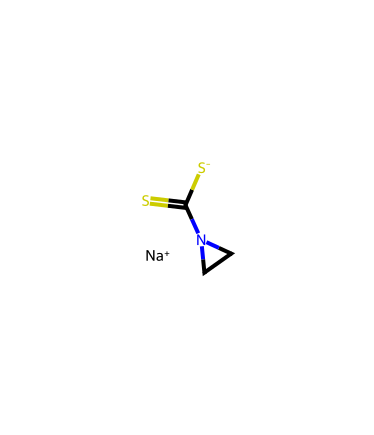 S=C([S-])N1CC1.[Na+]